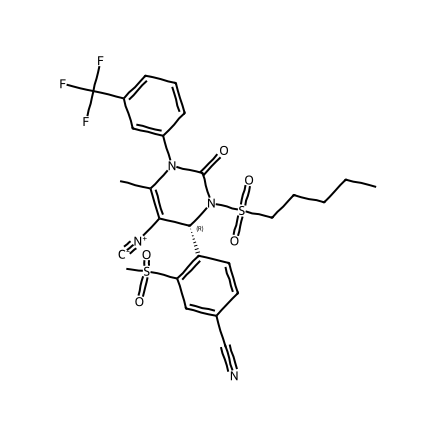 [C-]#[N+]C1=C(C)N(c2cccc(C(F)(F)F)c2)C(=O)N(S(=O)(=O)CCCCC)[C@@H]1c1ccc(C#N)cc1S(C)(=O)=O